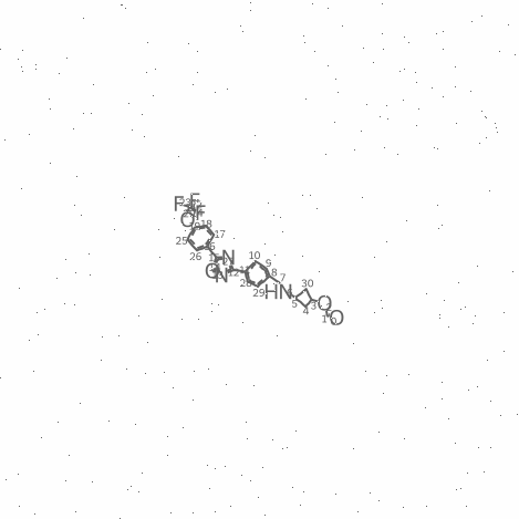 O=COC1CC(NCc2ccc(-c3noc(-c4ccc(OC(F)(F)F)cc4)n3)cc2)C1